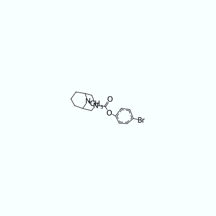 CN1C2CCCC1CN(C(=O)Oc1ccc(Br)cc1)C2